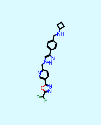 FC(F)c1nnc(-c2ccc(Cn3cc(-c4ccc(CNC5CCC5)cc4)nn3)nc2)o1